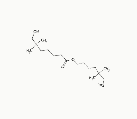 CC(C)(CO)CCCCOC(=O)CCCCC(C)(C)CO